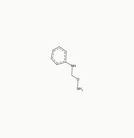 [SiH3]OCNc1ccccc1